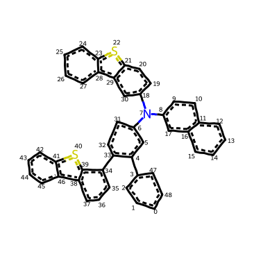 c1ccc(-c2cc(N(c3ccc4ccccc4c3)c3ccc4sc5ccccc5c4c3)ccc2-c2cccc3c2sc2ccccc23)cc1